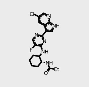 CCC(=O)N[C@@H]1CCCCC1Nc1nc(-c2c[nH]c3ncc(Cl)cc23)ncc1F